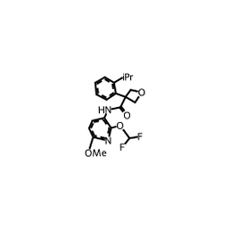 COc1ccc(NC(=O)C2(c3ccccc3C(C)C)COC2)c(OC(F)F)n1